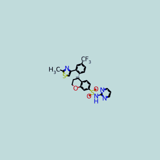 Cc1nc(-c2cc(C(F)(F)F)ccc2[C@H]2CCOc3cc(S(=O)(=O)Nc4ncccn4)ccc32)cs1